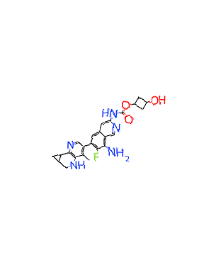 Cc1c(-c2cc3cc(NC(=O)OC4CC(O)C4)ncc3c(N)c2F)cnc2c1NCC1CC21